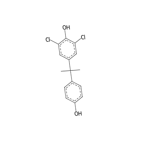 CC(C)(c1ccc(O)cc1)c1cc(Cl)c(O)c(Cl)c1